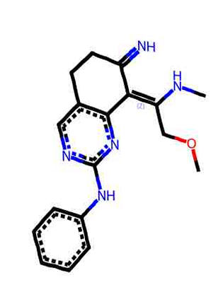 CN/C(COC)=C1\C(=N)CCc2cnc(Nc3ccccc3)nc21